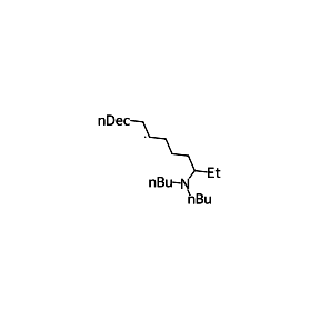 CCCCCCCCCCC[CH]CCCC(CC)N(CCCC)CCCC